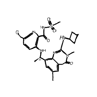 Cc1cc([C@@H](C)Nc2ccc(Cl)nc2C(=O)NS(C)(=O)=O)c2nc(NC3CCC3)n(C)c(=O)c2c1